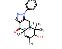 CC1(C)C(O)C(C#N)=C[C@]2(C)C(=O)c3cnn(-c4ccccc4)c3C[C@@H]12